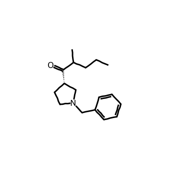 CCCC(C)C(=O)[C@H]1CCN(Cc2ccccc2)C1